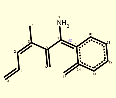 C=C/C=C(/C)C(=C)/C(N)=c1/ccccc1=C